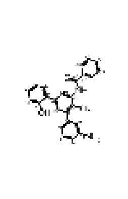 N#Cc1c(-c2cccc(N)c2)cc(-c2ccccc2O)nc1NC(=O)c1ccccc1